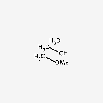 CO.COC.O